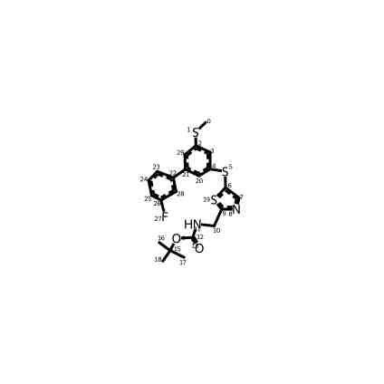 CSc1cc(Sc2cnc(CNC(=O)OC(C)(C)C)s2)cc(-c2cccc(F)c2)c1